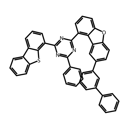 c1ccc(-c2cccc(-c3ccc4oc5cccc(-c6nc(-c7ccccc7)nc(-c7cccc8c7sc7ccccc78)n6)c5c4c3)c2)cc1